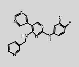 Fc1ccc(Nc2ncc(-c3cncnc3)c(NCc3cccnc3)n2)cc1Cl